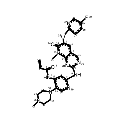 C=CC(=O)Nc1cc(Nc2ncc3cc(Oc4ccc(F)cn4)c(=O)n(C)c3n2)ncc1N1CCN(C)CC1